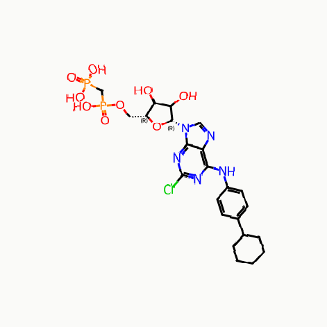 O=P(O)(O)CP(=O)(O)OC[C@H]1O[C@@H](n2cnc3c(Nc4ccc(C5CCCCC5)cc4)nc(Cl)nc32)C(O)C1O